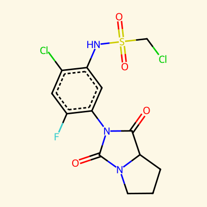 O=C1C2CCCN2C(=O)N1c1cc(NS(=O)(=O)CCl)c(Cl)cc1F